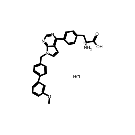 COc1cccc(-c2ccc(Cn3ccc4c(-c5ccc(C[C@H](N)C(=O)O)cc5)ncnc43)cc2)c1.Cl